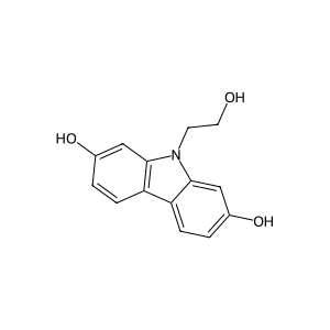 OCCn1c2cc(O)ccc2c2ccc(O)cc21